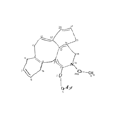 COC1=C2C3=C(CC=CC3)CC=C3C=CCC(=C32)CN1OC